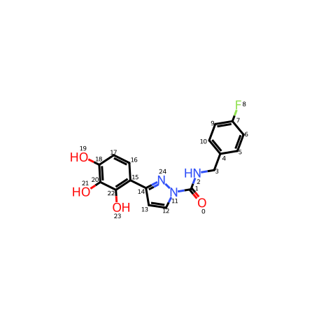 O=C(NCc1ccc(F)cc1)n1ccc(-c2ccc(O)c(O)c2O)n1